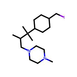 CC(CN1CCN(C)CC1)C(C)(C)C1CCC(CI)CC1